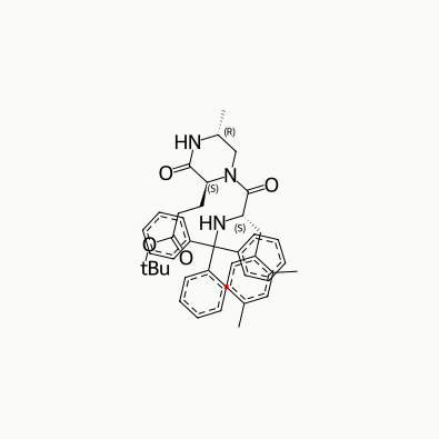 Cc1ccc(C[C@H](NC(c2ccccc2)(c2ccccc2)c2ccccc2)C(=O)N2C[C@@H](C)NC(=O)[C@@H]2CCC(=O)OC(C)(C)C)c(C)c1